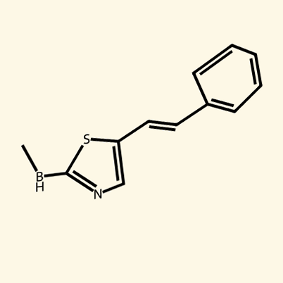 CBc1ncc(/C=C/c2ccccc2)s1